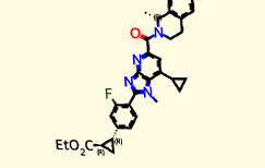 CCOC(=O)[C@@H]1C[C@H]1c1ccc(-c2nc3nc(C(=O)N4CCc5ccccc5[C@H]4C)cc(C4CC4)c3n2C)c(F)c1